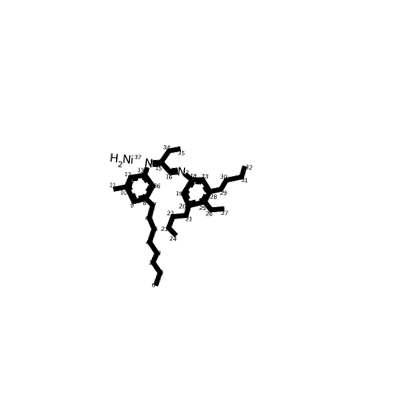 CCCCCCCCc1cc(C)cc(N=C(C=Nc2cc(CCCC)c(CC)c(CCCC)c2)CC)c1.[NiH2]